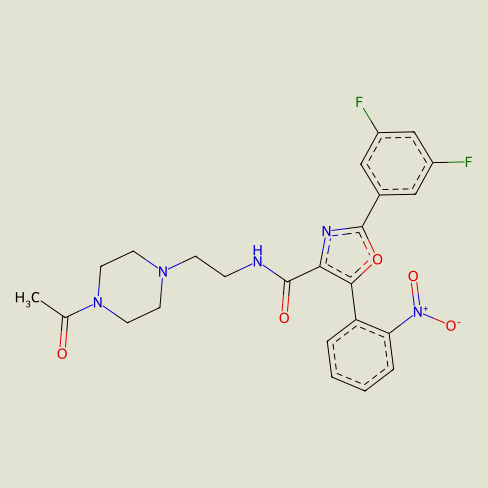 CC(=O)N1CCN(CCNC(=O)c2nc(-c3cc(F)cc(F)c3)oc2-c2ccccc2[N+](=O)[O-])CC1